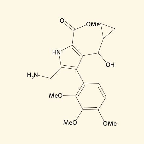 COC(=O)c1[nH]c(CN)c(-c2ccc(OC)c(OC)c2OC)c1C(O)C1CC1